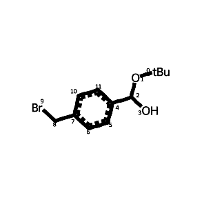 CC(C)(C)OC(O)c1ccc(CBr)cc1